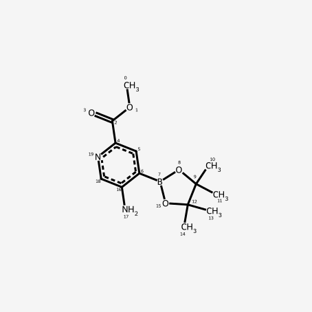 COC(=O)c1cc(B2OC(C)(C)C(C)(C)O2)c(N)cn1